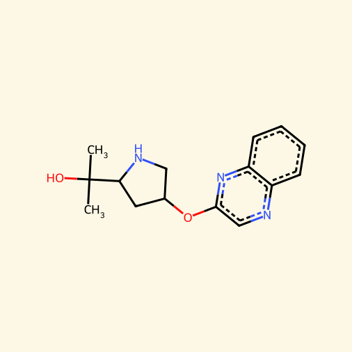 CC(C)(O)C1CC(Oc2cnc3ccccc3n2)CN1